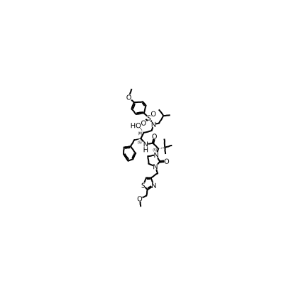 COCc1nc(CN2CCN([C@H](C(=O)N[C@@H](Cc3ccccc3)[C@H](O)CN(CC(C)C)S(=O)(=O)c3ccc(OC)cc3)C(C)(C)C)C2=O)cs1